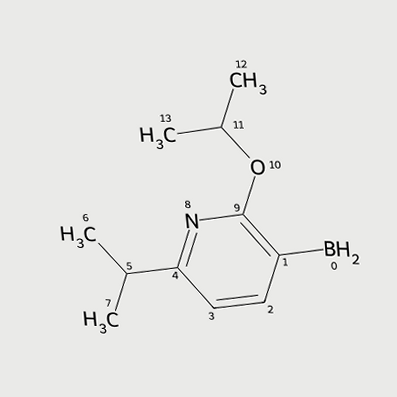 Bc1ccc(C(C)C)nc1OC(C)C